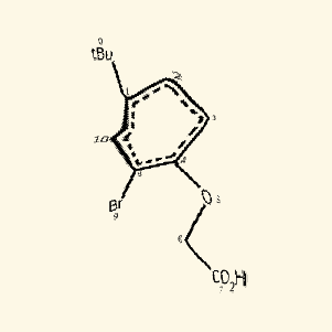 CC(C)(C)c1ccc(OCC(=O)O)c(Br)c1